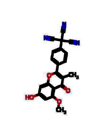 COc1cc(O)cc2oc(-c3ccc(C(C#N)(C#N)C#N)cc3)c(C)c(=O)c12